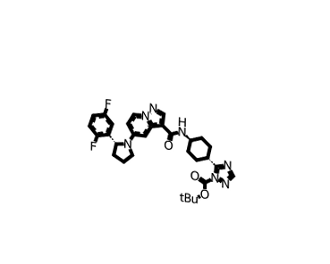 CC(C)(C)OC(=O)n1ncnc1[C@H]1CC[C@H](NC(=O)c2cnn3ccc(N4CCC[C@@H]4c4cc(F)ccc4F)cc23)CC1